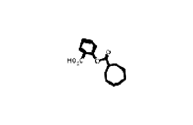 O=C(O)c1ccccc1OC(=O)C1CCCCCCC1